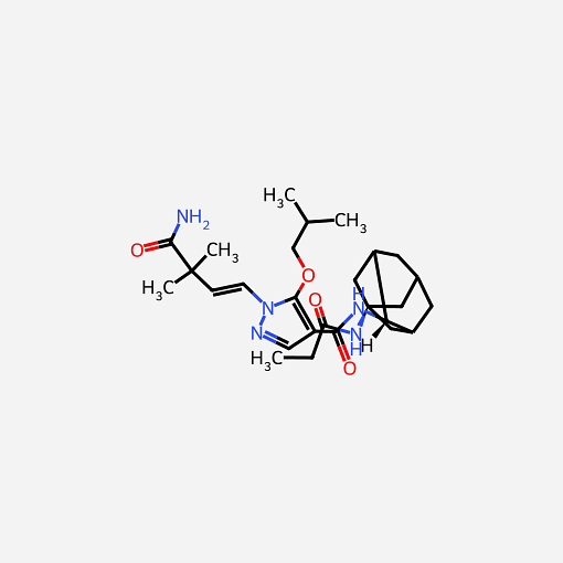 CCC(=O)N[C@]12CC3CC(C1)[C@@H](NC(=O)c1cnn(/C=C/C(C)(C)C(N)=O)c1OCC(C)C)C(C3)C2